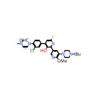 COc1ncc(-c2nc(F)cc(-c3ccc(N(C=O)/C=C\N(C)C)c(Cl)c3)c2O)cc1N1CCN(C(C)(C)C)CC1